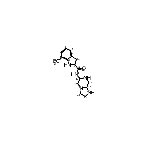 Cc1cccc2c1NC(C(=O)NC1CN3CCNC3CN1)C2